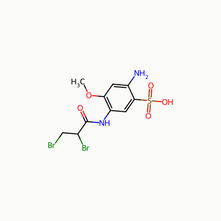 COc1cc(N)c(S(=O)(=O)O)cc1NC(=O)C(Br)CBr